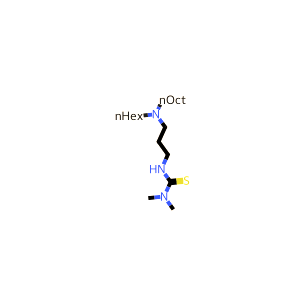 CCCCCCCCN(CCCCCC)CCCNC(=S)N(C)C